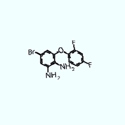 Nc1cc(Br)cc(Oc2ccc(F)cc2F)c1N